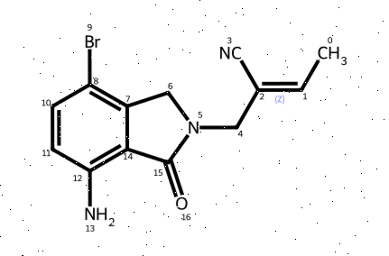 C/C=C(\C#N)CN1Cc2c(Br)ccc(N)c2C1=O